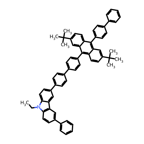 CCn1c2ccc(-c3ccccc3)cc2c2cc(-c3ccc(-c4ccc(-c5c6ccc(C(C)(C)C)cc6c(-c6ccc(-c7ccccc7)cc6)c6ccc(C(C)(C)C)cc56)cc4)cc3)ccc21